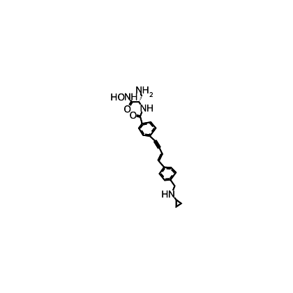 NC[C@H](NC(=O)c1ccc(C#C/C=C/c2ccc(CNC3CC3)cc2)cc1)C(=O)NO